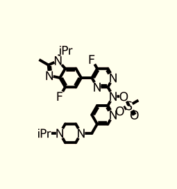 Cc1nc2c(F)cc(-c3nc(N(OS(C)(=O)=O)c4ccc(CN5CCN(C(C)C)CC5)cn4)ncc3F)cc2n1C(C)C